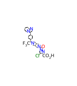 O=C(O)c1nn(C(=O)N2CC3CN(C(c4ccc(-c5cnc6ccccn56)cc4)C(F)(F)F)CC3C2)cc1Cl